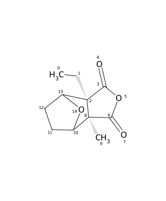 CC[C@]12C(=O)OC(=O)[C@@]1(C)C1CCC2O1